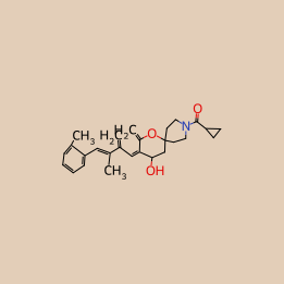 C=C1OC2(CCN(C(=O)C3CC3)CC2)CC(O)/C1=C/C(=C)/C(C)=C/c1ccccc1C